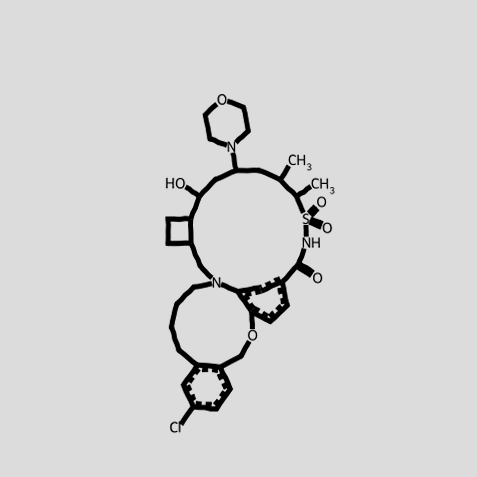 CC1CC(N2CCOCC2)CC(O)C2CCC2CN2CCCCc3cc(Cl)ccc3COc3ccc(cc32)C(=O)NS(=O)(=O)C1C